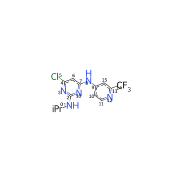 CC(C)Nc1nc(Cl)cc(Nc2ccnc(C(F)(F)F)c2)n1